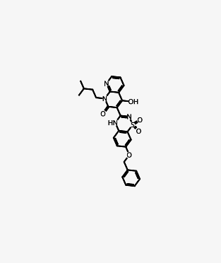 CC(C)CCn1c(=O)c(C2=NS(=O)(=O)c3cc(OCc4ccccc4)ccc3N2)c(O)c2cccnc21